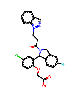 O=C(O)COc1ccc(Cl)cc1C1c2ccc(F)cc2CN1C(=O)CCn1ncc2ccccc21